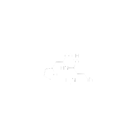 CC(C)C[C@H](N)C(=O)NC(CC1CCCO1)C(=O)O